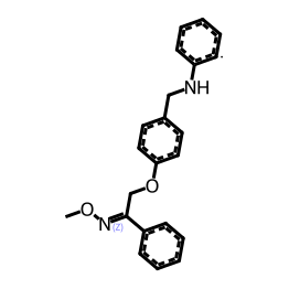 CO/N=C(\COc1ccc(CNc2[c]cccc2)cc1)c1ccccc1